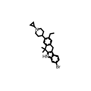 CCc1cc2c(cc1C1CCN(C3CC3)CC1)C(C)(C)c1[nH]c3cc(Br)ccc3c1C2